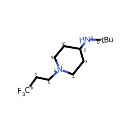 CC(C)(C)NC1CCN(CCC(F)(F)F)CC1